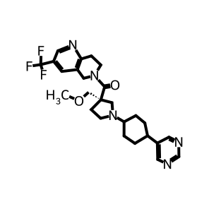 COC[C@@]1(C(=O)N2CCc3ncc(C(F)(F)F)cc3C2)CCN(C2CCC(c3cncnc3)CC2)C1